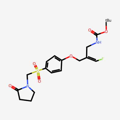 CC(C)(C)OC(=O)NC/C(=C\F)COc1ccc(S(=O)(=O)CN2CCCC2=O)cc1